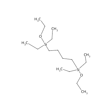 CCO[Si](CC)(CC)CCCC[Si](CC)(CC)OCC